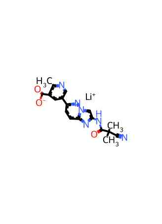 Cc1ncc(-c2ccc3nc(NC(=O)C(C)(C)C#N)cn3n2)cc1C(=O)[O-].[Li+]